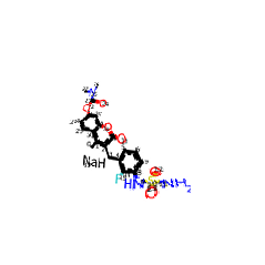 Cc1c(Cc2cccc(NS(N)(=O)=O)c2F)c(=O)oc2cc(OC(=O)N(C)C)ccc12.[NaH]